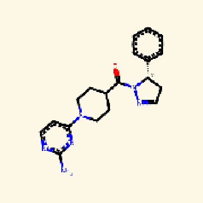 Nc1nccc(N2CCC(C(=O)N3N=CC[C@H]3c3ccccc3)CC2)n1